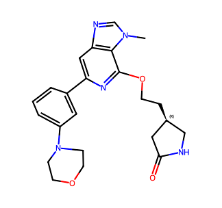 Cn1cnc2cc(-c3cccc(N4CCOCC4)c3)nc(OCC[C@H]3CNC(=O)C3)c21